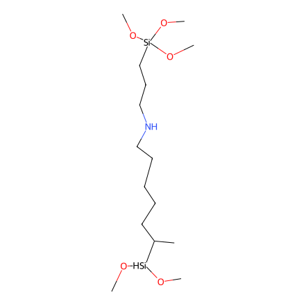 CO[SiH](OC)C(C)CCCCCNCCC[Si](OC)(OC)OC